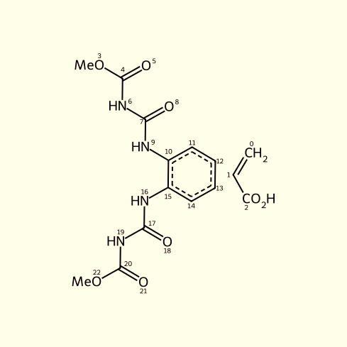 C=CC(=O)O.COC(=O)NC(=O)Nc1ccccc1NC(=O)NC(=O)OC